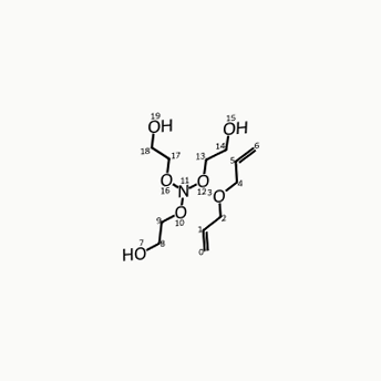 C=CCOCC=C.OCCON(OCCO)OCCO